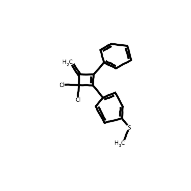 C=C1C(c2ccccc2)=C(c2ccc(SC)cc2)C1(Cl)Cl